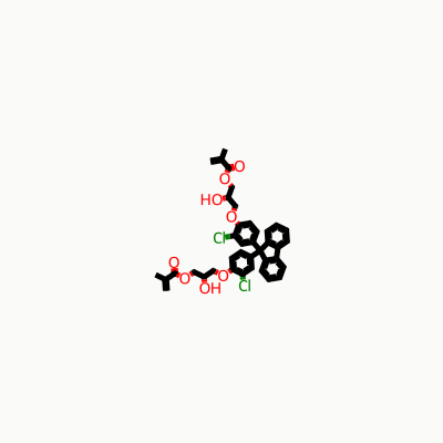 C=C(C)C(=O)OCC(O)COc1ccc(C2(c3ccc(OCC(O)COC(=O)C(=C)C)c(Cl)c3)c3ccccc3-c3ccccc32)cc1Cl